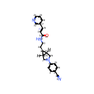 N#Cc1ccc(N2C[C@@H]3[C@@H](CCNC(=O)/C=C/c4cccnc4)[C@@H]3C2)cc1